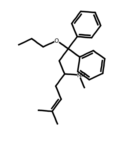 CCCOC(CC(CC=C(C)C)NC)(c1ccccc1)c1ccccc1